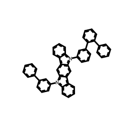 c1ccc(-c2cccc(-n3c4ccccc4c4cc5c(cc43)c3ccccc3n5-c3cccc(-c4ccccc4-c4ccccc4)c3)c2)cc1